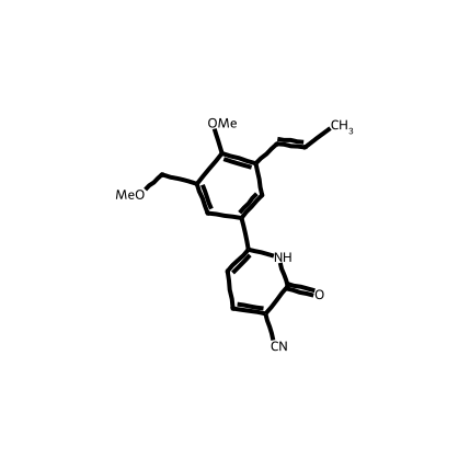 C/C=C/c1cc(-c2ccc(C#N)c(=O)[nH]2)cc(COC)c1OC